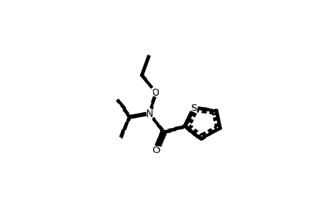 CCON(C(=O)c1cccs1)C(C)C